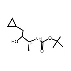 C[C@H](NC(=O)OC(C)(C)C)C(O)CC1CC1